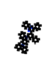 c1ccc(-c2cc(-c3cc(-c4ccccc4)nc(-c4ccccc4)n3)cc(-n3c4ccccc4c4cc(-n5c6ccccc6c6ccccc65)ccc43)c2)cc1